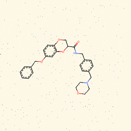 O=C(NCc1ccc(CN2CCOCC2)cc1)C1COc2ccc(OCc3ccccc3)cc2O1